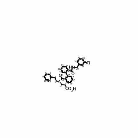 O=C(O)CCN(CCc1ccccn1)C(=O)c1ccccc1-c1ccccc1C(=O)NCc1cccc(Cl)c1